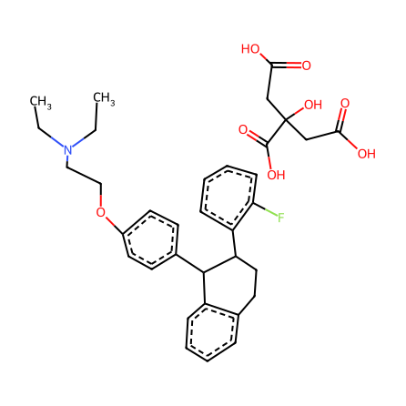 CCN(CC)CCOc1ccc(C2c3ccccc3CCC2c2ccccc2F)cc1.O=C(O)CC(O)(CC(=O)O)C(=O)O